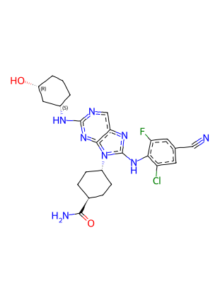 N#Cc1cc(F)c(Nc2nc3cnc(N[C@H]4CCC[C@@H](O)C4)nc3n2[C@H]2CC[C@H](C(N)=O)CC2)c(Cl)c1